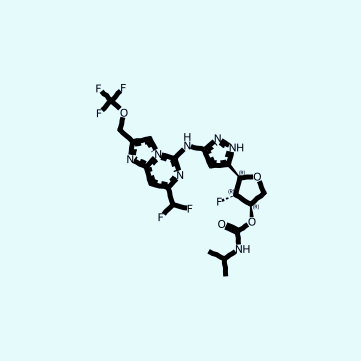 CC(C)NC(=O)O[C@@H]1CO[C@H](c2cc(Nc3nc(C(F)F)cc4nc(COC(F)(F)F)cn34)n[nH]2)[C@H]1F